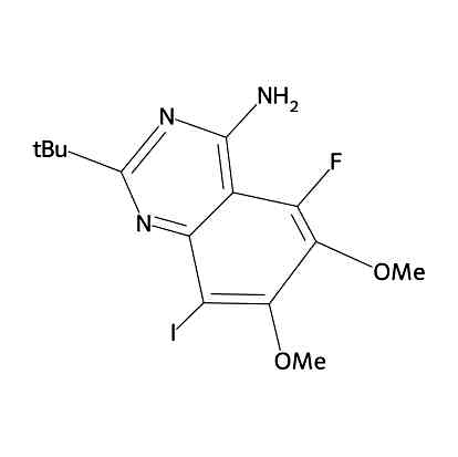 COc1c(OC)c(F)c2c(N)nc(C(C)(C)C)nc2c1I